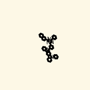 C1=CC2c3cc4c5ccccc5n(-c5cccc(-c6nc(-c7ccccc7)nc(-c7ccc8ccccc8c7)n6)c5)c4cc3N(c3ccccc3)C2C=C1